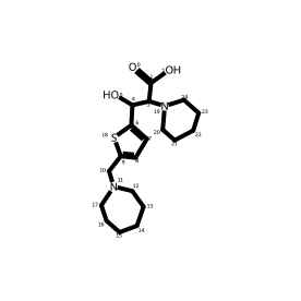 O=C(O)C(C(O)c1ccc(CN2CCCCCC2)s1)N1CCCCC1